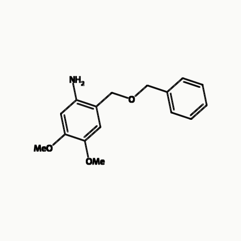 COc1cc(N)c(COCc2ccccc2)cc1OC